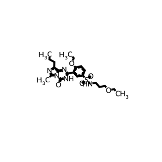 CCCc1nc(C)n2c(=O)[nH]c(-c3cc(S(=O)(=O)NCCCOCC)ccc3OCC)nc12